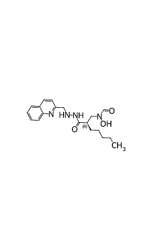 CCCCC[C@H](CN(O)C=O)C(=O)NNCc1ccc2ccccc2n1